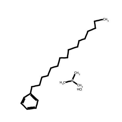 CCCCCCCCCCCCCCCCc1ccccc1.CN(C)C.Cl